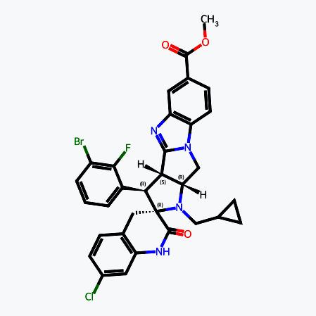 COC(=O)c1ccc2c(c1)nc1n2C[C@H]2[C@@H]1[C@H](c1cccc(Br)c1F)[C@@]1(Cc3ccc(Cl)cc3NC1=O)N2CC1CC1